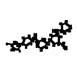 Cc1ncn(-c2ccc(Nc3nccc(-c4cc(C#N)cc(Nc5ccncc5)c4)n3)cc2)n1